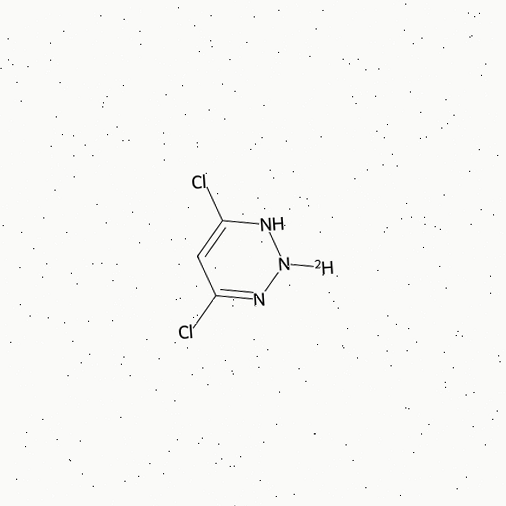 [2H]N1N=C(Cl)C=C(Cl)N1